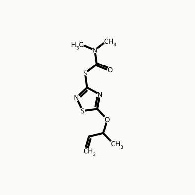 C=CC(C)Oc1nc(SC(=O)N(C)C)ns1